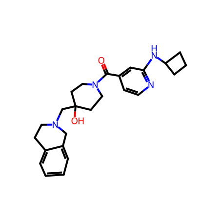 O=C(c1ccnc(NC2CCC2)c1)N1CCC(O)(CN2CCc3ccccc3C2)CC1